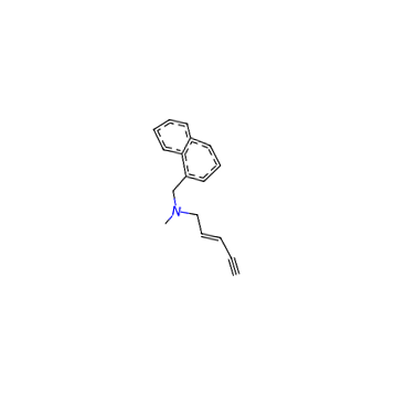 C#CC=CCN(C)Cc1cccc2ccccc12